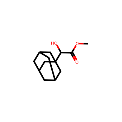 COC(=O)C(O)C12CC3CC(CC(C3)C1)C2